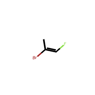 C/C(Br)=C\F